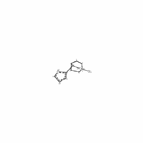 [O-][N+]12CCC(CC1)C(c1ccco1)C2